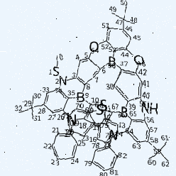 CSN1c2cc3c(cc2B2c4sc5ccccc5c4N(c4ccccc4)c4cc(C(C)(C)C)cc1c42)B1c2cc4c(cc2Oc2cc(C(C)(C)C)cc(c21)O3)Nc1cc(C(C)(C)C)cc2c1B4c1sc3ccccc3c1N2c1ccccc1